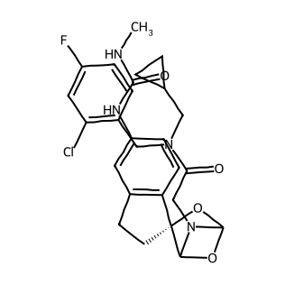 CNC(=O)Nc1ccc2c(c1)CC[C@@]21OC2OC1N2CC(=O)N(Cc1ccc(F)cc1Cl)CC1CC1